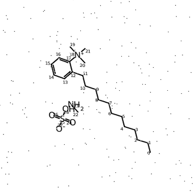 CCCCCCCCCCCCc1ccccc1[N+](C)(C)C.CN.O=S(=O)([O-])O